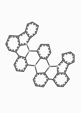 c1cc2c3c(c1)B1c4c(cccc4N3c3cccc4c3B2n2c3ccccc3c3cccc-4c32)-c2cccc3c4ccccc4n1c23